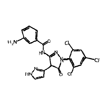 Nc1cccc(C(=O)NC2=NN(c3c(Cl)cc(Cl)cc3Cl)C(=O)C2c2cc[nH]n2)c1